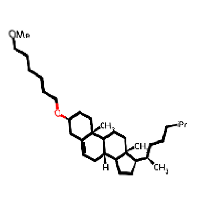 COCCCCCCO[C@H]1CC[C@@]2(C)C(=CC[C@@H]3C2CC[C@@]2(C)C3CC[C@@H]2[C@H](C)CCCC(C)C)C1